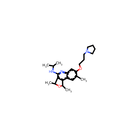 Cc1cc2c3c(c(NC(C)C)nc2cc1OCCCN1CCCC1)C(C)OC3C